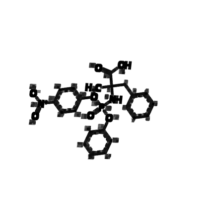 CC(Cc1ccccc1)(NP(=O)(Oc1ccccc1)Oc1ccc([N+](=O)[O-])cc1)C(=O)O